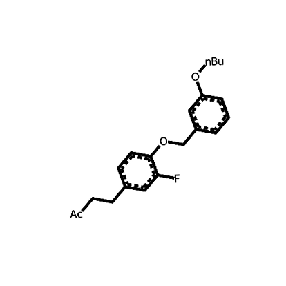 CCCCOc1cccc(COc2ccc(CCC(C)=O)cc2F)c1